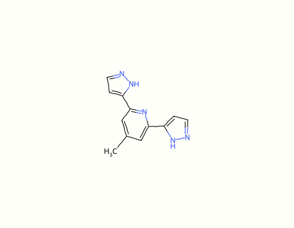 Cc1cc(-c2ccn[nH]2)nc(-c2ccn[nH]2)c1